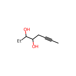 CC#CCC(O)C(O)CC